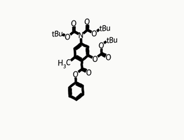 Cc1cc(N(C(=O)OC(C)(C)C)C(=O)OC(C)(C)C)cc(OC(=O)OC(C)(C)C)c1C(=O)Oc1ccccc1